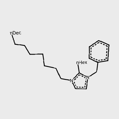 CCCCCCCCCCCCCCCCC[n+]1ccn(Cc2ccccc2)c1CCCCCC